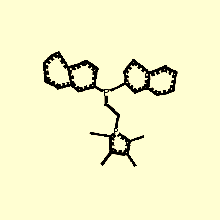 Cc1c(C)c(C)p(CCP(c2ccc3ccccc3c2)c2ccc3ccccc3c2)c1C